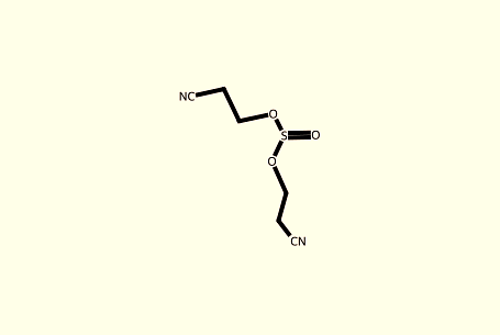 N#CCCOS(=O)OCCC#N